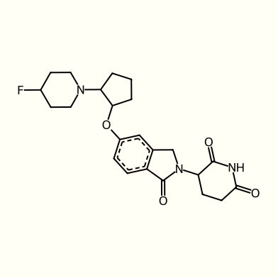 O=C1CCC(N2Cc3cc(OC4CCCC4N4CCC(F)CC4)ccc3C2=O)C(=O)N1